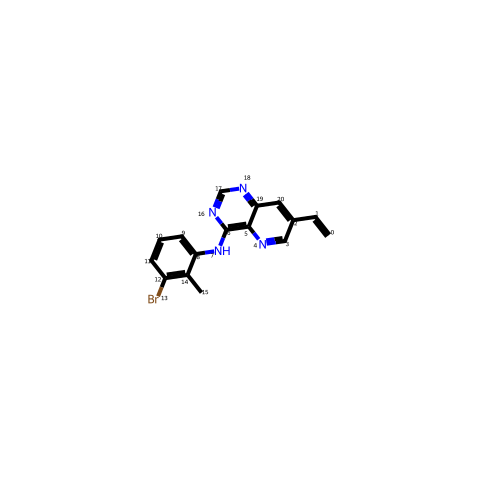 C=Cc1cnc2c(Nc3cccc(Br)c3C)ncnc2c1